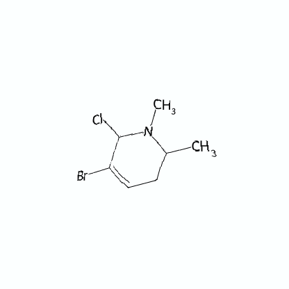 CC1CC=C(Br)C(Cl)N1C